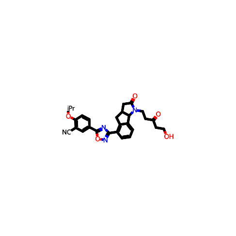 CC(C)Oc1ccc(-c2nc(-c3cccc4c3CC3CC(=O)N(CCC(=O)CCO)C43)no2)cc1C#N